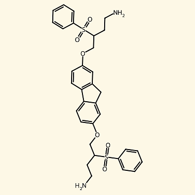 NCCC(COc1ccc2c(c1)Cc1cc(OCC(CCN)S(=O)(=O)c3ccccc3)ccc1-2)S(=O)(=O)c1ccccc1